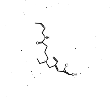 C=C/C(=C\C(Cl)=C\O)CN(CC)CCCC(=O)NC/C=C\C